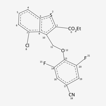 CCOC(=O)c1sc2cccc(Cl)c2c1COc1c(F)cc(C#N)cc1F